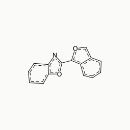 c1ccc2c(-c3nc4ccccc4o3)occ2c1